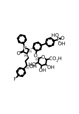 O=C(O)C1O[C@@H](Oc2cc(-c3ccc(P(=O)(O)O)cc3)ccc2[C@@H]2[C@@H](CC[C@H](O)c3ccc(F)cc3)C(=O)N2c2ccccc2)C(O)C(O)[C@@H]1O